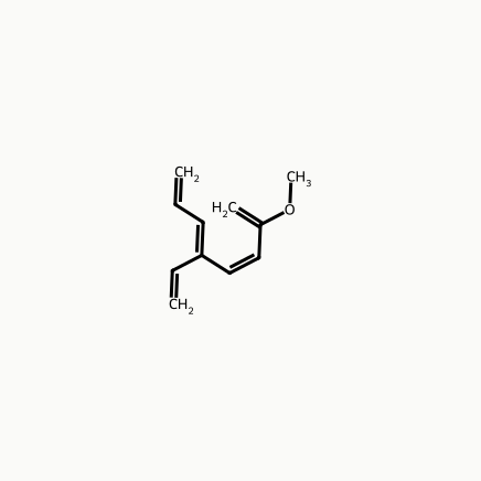 C=C/C=C(C=C)/C=C\C(=C)OC